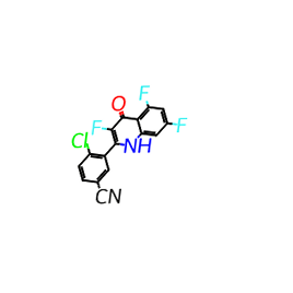 N#Cc1ccc(Cl)c(-c2[nH]c3cc(F)cc(F)c3c(=O)c2F)c1